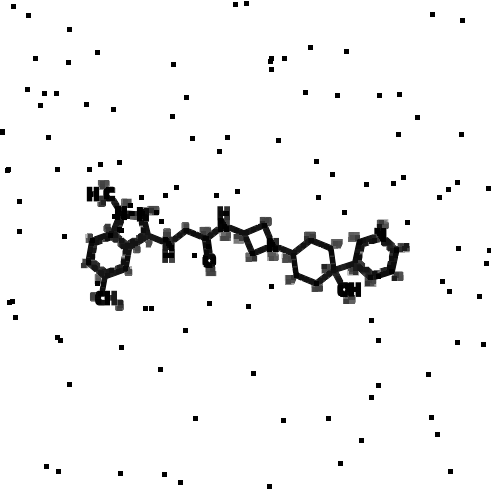 Cc1ccc2c(c1)c(NCC(=O)NC1CN(C3CCC(O)(c4cccnc4)CC3)C1)nn2C